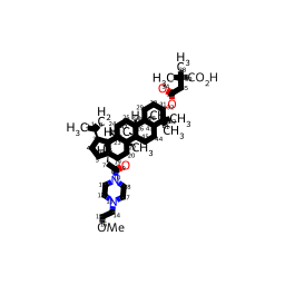 C=C(C)[C@@H]1CC[C@]2(CC(=O)N3CCN(CCOC)CC3)CC[C@]3(C)[C@H](CC[C@@H]4[C@@]5(C)CC[C@H](OC(=O)CC(C)(C)C(=O)O)C(C)(C)C5CC[C@]43C)[C@@H]12